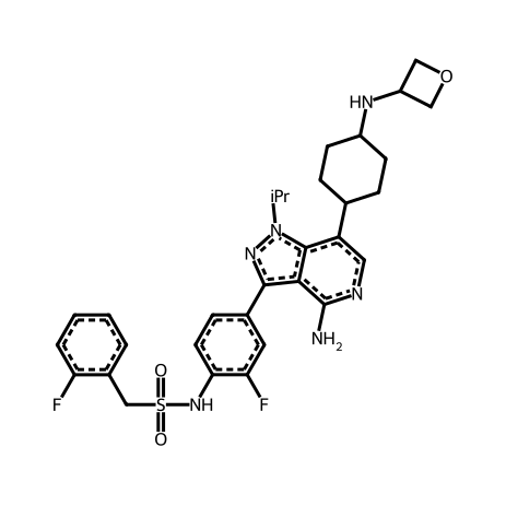 CC(C)n1nc(-c2ccc(NS(=O)(=O)Cc3ccccc3F)c(F)c2)c2c(N)ncc(C3CCC(NC4COC4)CC3)c21